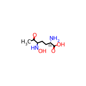 CC(=O)C(CC[C@H](N)C(=O)O)NO